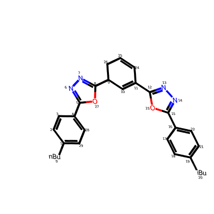 CCCCc1ccc(-c2nnc(C3C=C(c4nnc(-c5ccc(C(C)CC)cc5)o4)C=CC3)o2)cc1